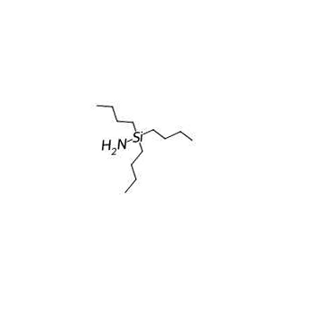 CCCC[Si](N)(CCCC)CCCC